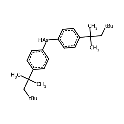 CC(C)(C)CC(C)(C)c1ccc([AsH]c2ccc(C(C)(C)CC(C)(C)C)cc2)cc1